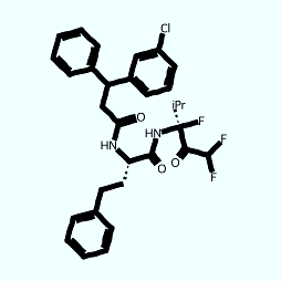 CC(C)[C@@](F)(NC(=O)[C@H](CCc1ccccc1)NC(=O)CC(c1ccccc1)c1cccc(Cl)c1)C(=O)C(F)F